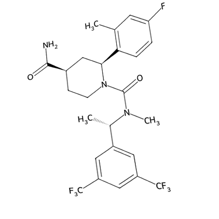 Cc1cc(F)ccc1[C@@H]1C[C@H](C(N)=O)CCN1C(=O)N(C)[C@@H](C)c1cc(C(F)(F)F)cc(C(F)(F)F)c1